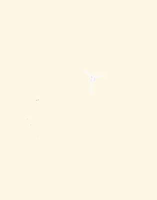 O=[N+]([O-])c1ccccc1CN1CC[CH]CC1